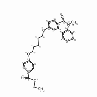 CCOC(=N)c1ccc(OCCCCCOc2ccc(C(=O)N(C)c3ccccc3)cc2)cc1